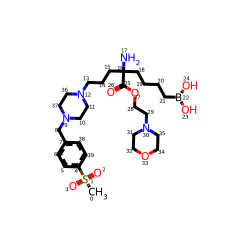 CS(=O)(=O)c1ccc(CN2CCN(CCCC(N)(CCCCB(O)O)C(=O)OCCN3CCOCC3)CC2)cc1